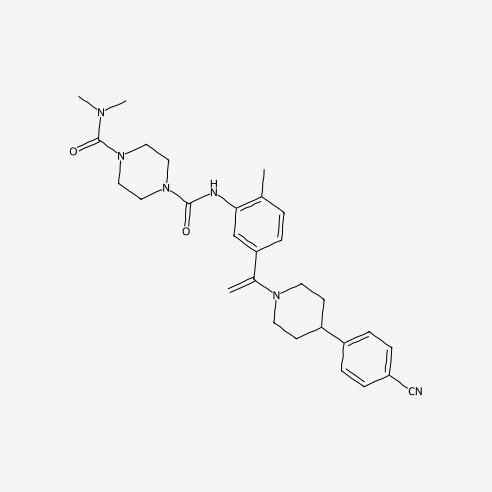 C=C(c1ccc(C)c(NC(=O)N2CCN(C(=O)N(C)C)CC2)c1)N1CCC(c2ccc(C#N)cc2)CC1